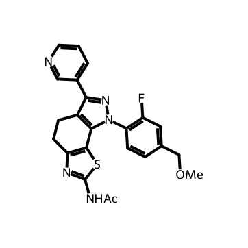 COCc1ccc(-n2nc(-c3cccnc3)c3c2-c2sc(NC(C)=O)nc2CC3)c(F)c1